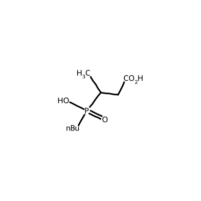 CCCCP(=O)(O)C(C)CC(=O)O